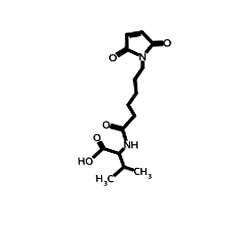 CC(C)C(NC(=O)CCCCCN1C(=O)C=CC1=O)C(=O)O